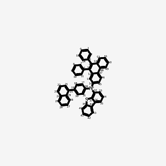 c1ccc(-c2c(-c3ccccc3)c3cc(N(c4ccc(-c5cccc6ccccc56)cc4)c4cccc5c4sc4ccccc45)ccc3c3ccccc23)cc1